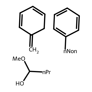 C=C1C=CC=CC1.CCCC(O)OC.CCCCCCCCCc1ccccc1